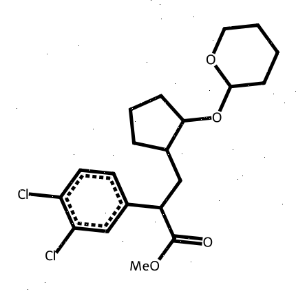 COC(=O)C(CC1CCCC1OC1CCCCO1)c1ccc(Cl)c(Cl)c1